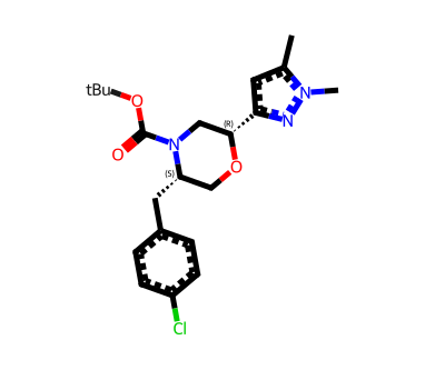 Cc1cc([C@H]2CN(C(=O)OC(C)(C)C)[C@@H](Cc3ccc(Cl)cc3)CO2)nn1C